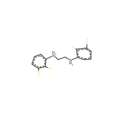 Fc1cccc([SiH2]CC[SiH2]c2cccc(F)c2F)c1F